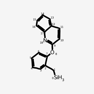 [SiH3]Cc1ccccc1Oc1ccc2ccccc2n1